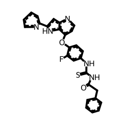 O=C(Cc1ccccc1)NC(=S)Nc1ccc(Oc2ccnc3cc(-c4ccccn4)[nH]c23)c(F)c1